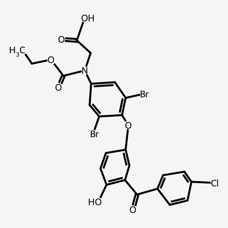 CCOC(=O)N(CC(=O)O)c1cc(Br)c(Oc2ccc(O)c(C(=O)c3ccc(Cl)cc3)c2)c(Br)c1